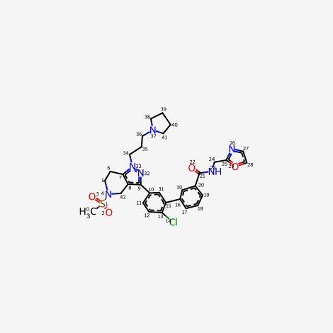 CS(=O)(=O)N1CCc2c(c(-c3ccc(Cl)c(-c4cccc(C(=O)NCc5ncco5)c4)c3)nn2CCCN2CCCC2)C1